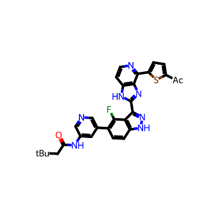 CC(=O)c1ccc(-c2nccc3[nH]c(-c4n[nH]c5ccc(-c6cncc(NC(=O)CC(C)(C)C)c6)c(F)c45)nc23)s1